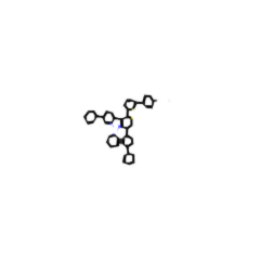 CC(C)(C)c1ccc(-c2cccc3c2sc2cc(-c4ccc(C5C=CC=CC5)cc4)c4c(c5ccc(-c6ccccc6)cc5n4-c4ccccc4)c23)cc1